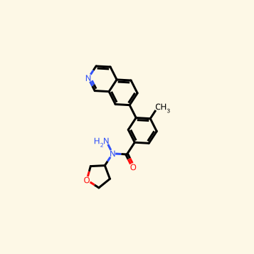 Cc1ccc(C(=O)N(N)C2CCOC2)cc1-c1ccc2ccncc2c1